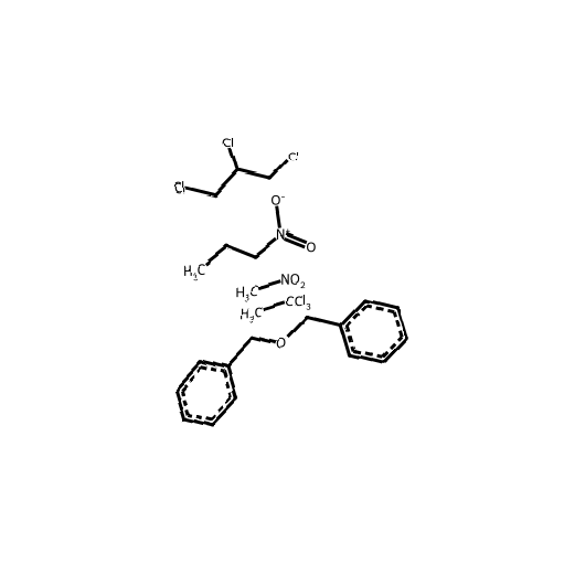 CC(Cl)(Cl)Cl.CCC[N+](=O)[O-].C[N+](=O)[O-].ClCC(Cl)CCl.c1ccc(COCc2ccccc2)cc1